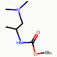 CC(CN(C)C)NC(=O)OC(C)(C)C